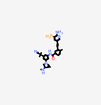 CNC1CN(c2cc(NC(=O)c3ccc(C)c(C#Cc4cnc(N)c(P)c4)c3)cc(C(C)(C)C#N)c2)C2CC12